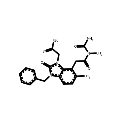 Cc1ccc2c(c1CC(=O)N(C)C(N)=O)n(CC(=O)C(C)(C)C)c(=O)n2Cc1ccccc1